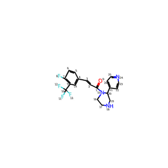 O=C(C=Cc1ccc(F)c(C(F)(F)F)c1)N1CCNCC1c1ccncc1